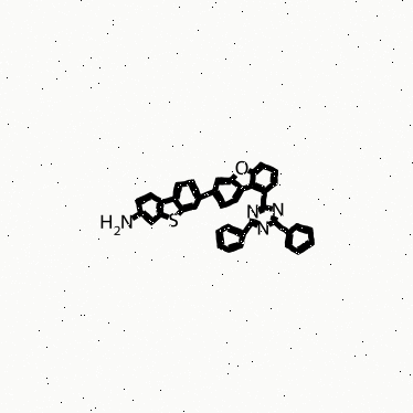 Nc1ccc2c(c1)sc1cc(-c3ccc4c(c3)oc3cccc(-c5nc(-c6ccccc6)nc(-c6ccccc6)n5)c34)ccc12